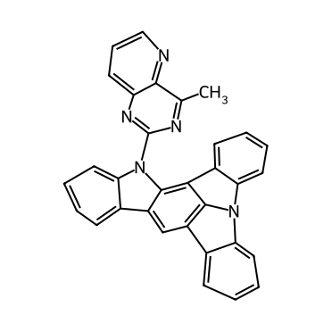 Cc1nc(-n2c3ccccc3c3cc4c5ccccc5n5c6ccccc6c(c32)c45)nc2cccnc12